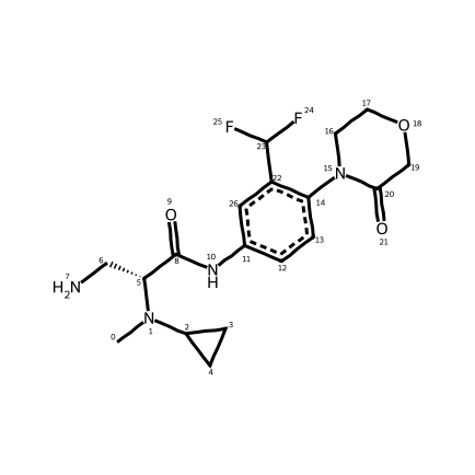 CN(C1CC1)[C@H](CN)C(=O)Nc1ccc(N2CCOCC2=O)c(C(F)F)c1